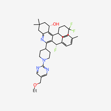 CCOCc1cnc(N2CCC(c3nc4c(c(C5CCC(F)(F)CC5)c3[C@@H](F)c3ccc(C)cc3)[C@@H](O)CC(C)(C)C4)CC2)nc1